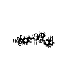 CC(C)(C)C(NC(=O)c1cc2cc(C(F)(F)P(=O)(O)O)ccc2s1)C(=O)N1CCC[C@H]1C(=O)N1CC[C@H]2CCN[C@H]2C1